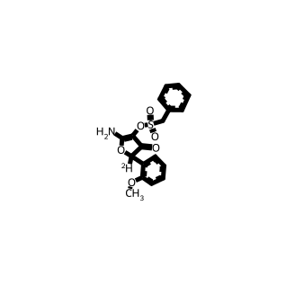 [2H]C1(c2ccccc2OC)OC(N)=C(OS(=O)(=O)Cc2ccccc2)C1=O